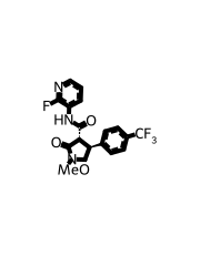 CON1C[C@H](c2ccc(C(F)(F)F)cc2)[C@@H](C(=O)Nc2cccnc2F)C1=O